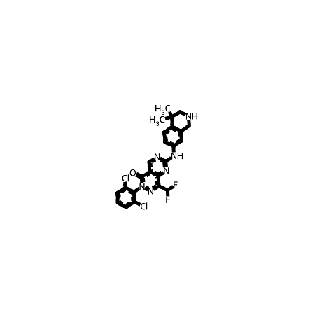 CC1(C)CNCc2cc(Nc3ncc4c(=O)n(-c5c(Cl)cccc5Cl)nc(C(F)F)c4n3)ccc21